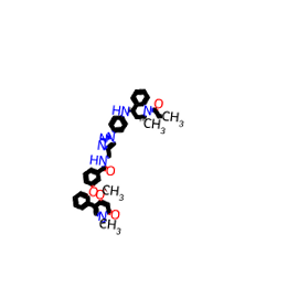 CCC(=O)N1c2ccccc2[C@H](Nc2ccc(-n3cc(CNC(=O)c4cccc(Oc5ccccc5-c5cn(C)c(=O)cc5OC)c4)nn3)cc2)C[C@@H]1C